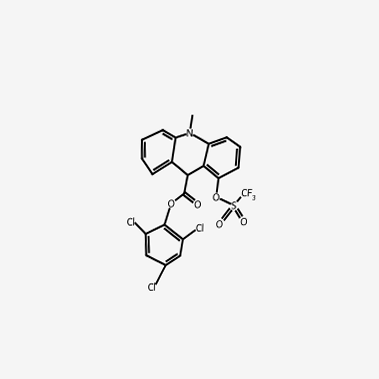 CN1c2ccccc2C(C(=O)Oc2c(Cl)cc(Cl)cc2Cl)c2c(OS(=O)(=O)C(F)(F)F)cccc21